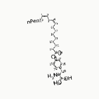 CCCCC/C=C\C/C=C\CCCCCCCC(=O)Oc1ccc(C[C@H](N)C(O)O)cc1